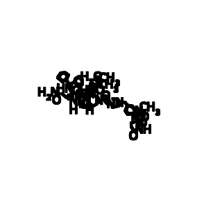 Cn1c(=O)n(C2CCC(=O)NC2=O)c2ccc(CN3CCN(CC(=O)N4CC[C@H]5CC[C@@H](C(=O)N[C@@H](CCC(N)=O)C(=O)NC(c6ccccc6)c6ccccc6)N5C(=O)[C@@H](NC(=O)OC(C)(C)C)C4)CC3)cc21